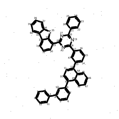 c1ccc(-c2cccc(-c3ccc(-c4cccc(-c5nc(-c6ccccc6)nc(-c6cccc7c6sc6ccccc67)n5)c4)c4ccccc34)c2)cc1